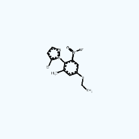 CCOc1cc(C)c(-n2nccc2Cl)c([N+](=O)[O-])c1